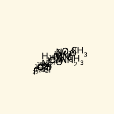 COC[C@@H](C)NC(=O)c1ncn([C@H]2CC[C@H](C(=O)Nc3ccc(F)cc3Cl)CC2)c1C(N)=O